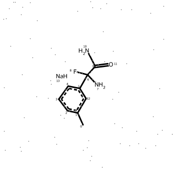 Cc1cccc(C(N)(F)C(N)=O)c1.[NaH]